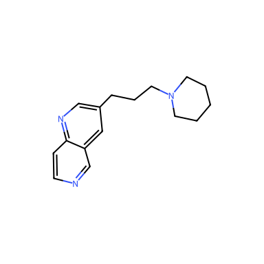 c1cc2ncc(CCCN3CCCCC3)cc2cn1